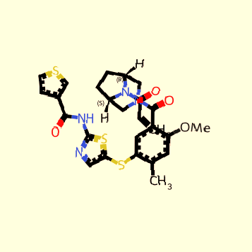 C=CC(=O)N1[C@@H]2CC[C@H]1CN(C(=O)c1cc(Sc3cnc(NC(=O)c4ccsc4)s3)c(C)cc1OC)C2